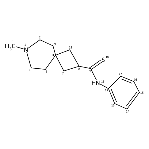 CN1CCC2(CC1)CC(C(=S)Nc1ccccc1)C2